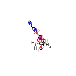 COc1cc(C)c(S(=O)(=O)N2CC(CCS(=O)(=O)N3CCC(CCN4CCCC4)CC3)CO2)c(C)c1C